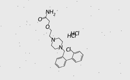 Cl.Cl.NC(=O)COCCN1CCN(Cc2ccccc2-c2ccccc2Cl)CC1